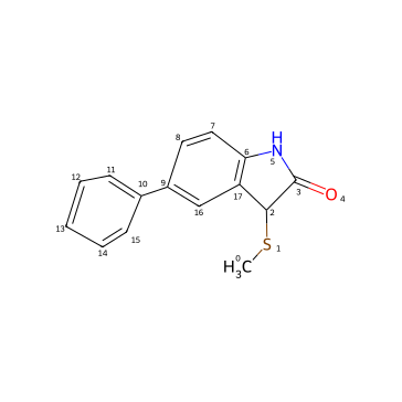 CSC1C(=O)Nc2ccc(-c3ccccc3)cc21